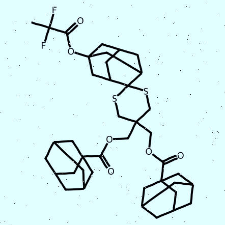 CC(F)(F)C(=O)OC12CC3CC(C1)C1(SCC(COC(=O)C45CC6CC(CC(C6)C4)C5)(COC(=O)C45CC6CC(CC(C6)C4)C5)CS1)C(C3)C2